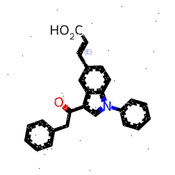 O=C(O)/C=C/c1ccc2c(c1)c(C(=O)Cc1ccccc1)cn2-c1ccccc1